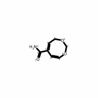 NC(=O)C1=CCOCOC=C1